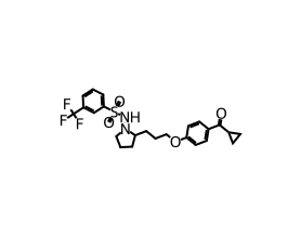 O=C(c1ccc(OCCCC2CCCN2NS(=O)(=O)c2cccc(C(F)(F)F)c2)cc1)C1CC1